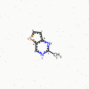 Cc1n[c]c2sccc2n1